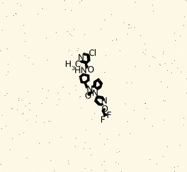 Cc1ncc(Cl)cc1C(=O)NC1CCC(Cn2c(=O)n(-c3ccc(OCC(F)F)nc3)c3ccccc32)CC1